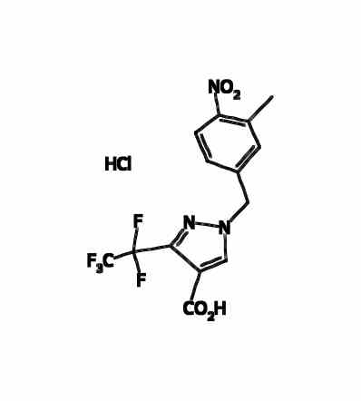 Cc1cc(Cn2cc(C(=O)O)c(C(F)(F)C(F)(F)F)n2)ccc1[N+](=O)[O-].Cl